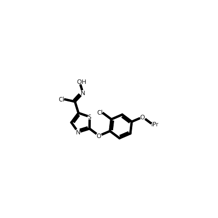 CC(C)Oc1ccc(Oc2ncc(C(Cl)=NO)s2)c(Cl)c1